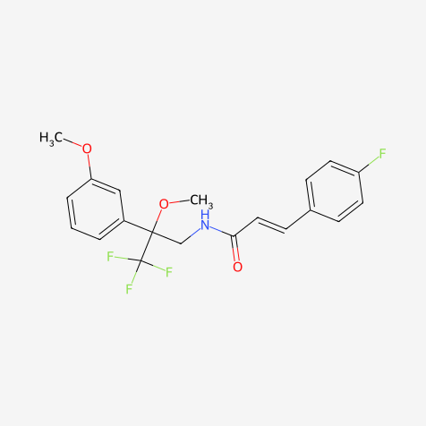 COc1cccc(C(CNC(=O)C=Cc2ccc(F)cc2)(OC)C(F)(F)F)c1